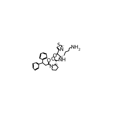 NCCCC[C@H](NC(=O)[C@@H]1CCCN1C(=O)CC(c1ccccc1)c1ccccc1)C(=O)c1cs[c]n1